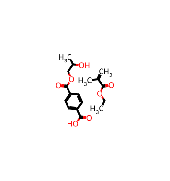 C=C(C)C(=O)OCC.CC(O)COC(=O)c1ccc(C(=O)O)cc1